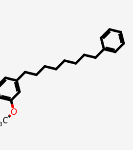 FC(F)(F)Oc1cccc(CCCCCCCCc2ccccc2)c1